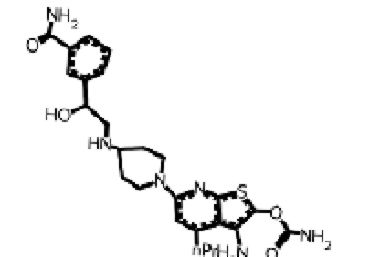 CCCc1cc(N2CCC(NCC(O)c3cccc(C(N)=O)c3)CC2)nc2sc(OC(N)=O)c(N)c12